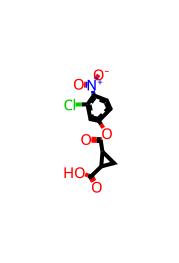 O=C(O)C1CC1C(=O)Oc1ccc([N+](=O)[O-])c(Cl)c1